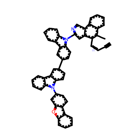 C#C/C=C\c1c(C)c2ccccc2c2cnc(-n3c4ccccc4c4cc(-c5ccc6c(c5)c5ccccc5n6-c5ccc6c(c5)oc5ccccc56)ccc43)cc12